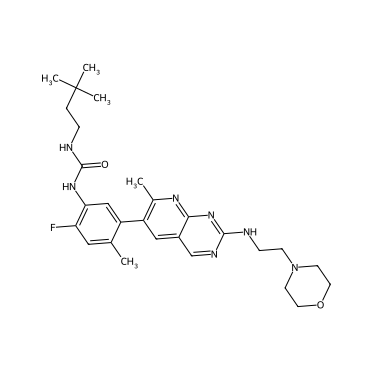 Cc1cc(F)c(NC(=O)NCCC(C)(C)C)cc1-c1cc2cnc(NCCN3CCOCC3)nc2nc1C